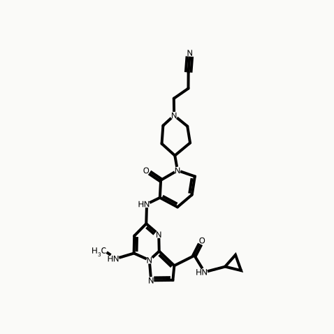 CNc1cc(Nc2cccn(C3CCN(CCC#N)CC3)c2=O)nc2c(C(=O)NC3CC3)cnn12